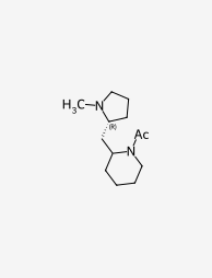 CC(=O)N1CCCCC1C[C@H]1CCCN1C